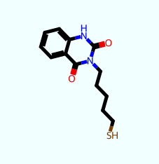 O=c1[nH]c2ccccc2c(=O)n1CCCCCS